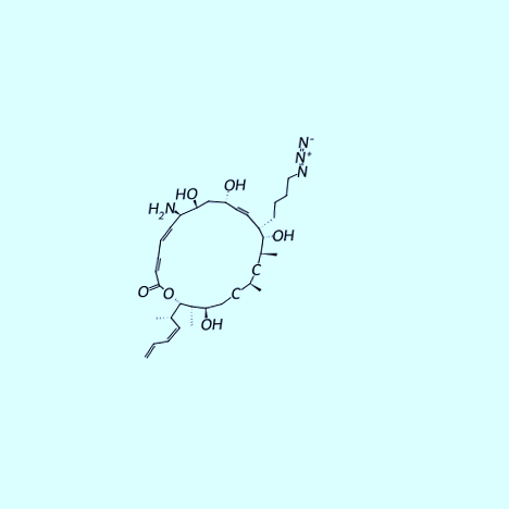 C=C/C=C\[C@H](C)[C@@H]1OC(=O)/C=C\C=C\[C@@H](N)[C@@H](O)C[C@H](O)/C=C\[C@H](CCCCN=[N+]=[N-])[C@H](O)[C@@H](C)C[C@@H](C)CC[C@@H](O)[C@@H]1C